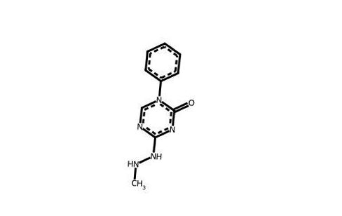 CNNc1ncn(-c2ccccc2)c(=O)n1